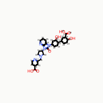 O=C(O)c1ccnc(CN2CCC(n3c(=O)n(-c4ccc(-c5ccc(O)c(C(=O)O)c5)c(O)c4)c4cccnc43)C2)c1